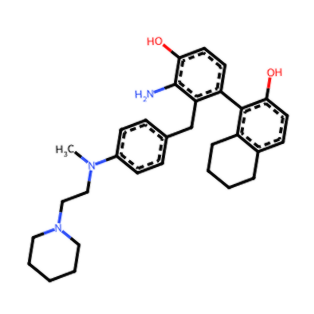 CN(CCN1CCCCC1)c1ccc(Cc2c(-c3c(O)ccc4c3CCCC4)ccc(O)c2N)cc1